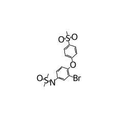 CS(=O)(=O)c1ccc(Oc2ccc(N=S(C)(C)=O)cc2Br)cc1